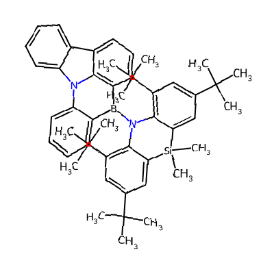 CC(C)(C)c1cc(C(C)(C)C)c2c(c1)[Si](C)(C)c1cc(C(C)(C)C)cc(C(C)(C)C)c1N2B1c2ccccc2-n2c3ccccc3c3cccc1c32